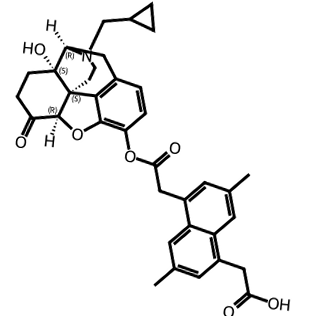 Cc1cc(CC(=O)Oc2ccc3c4c2O[C@H]2C(=O)CC[C@@]5(O)[C@@H](C3)N(CC3CC3)CC[C@]425)c2cc(C)cc(CC(=O)O)c2c1